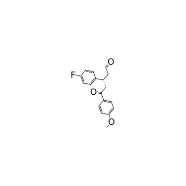 COc1ccc(C(=O)C[C@@H](CC=O)c2ccc(F)cc2)cc1